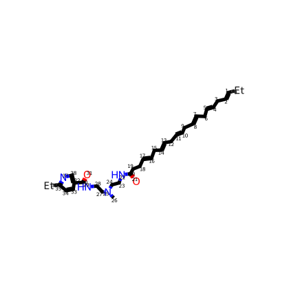 CCC=CCC=CCC=CCC=CCC=CCC=CCCC(=O)NCCN(C)CCNC(=O)c1ccc(CC)nc1